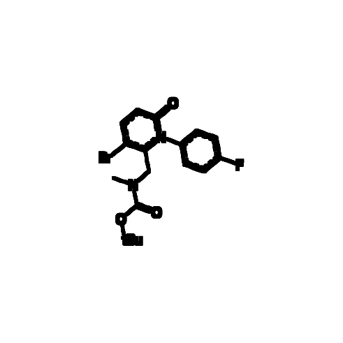 CN(Cc1c(Br)ccc(=O)n1-c1ccc(F)cc1)C(=O)OC(C)(C)C